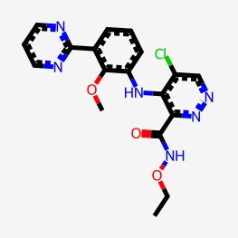 CCONC(=O)c1nncc(Cl)c1Nc1cccc(-c2ncccn2)c1OC